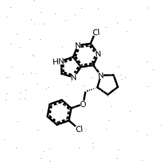 Clc1nc(N2CCC[C@@H]2COc2ccccc2Cl)c2nc[nH]c2n1